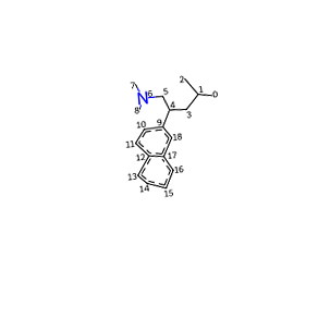 CC(C)CC(CN(C)C)c1ccc2ccccc2c1